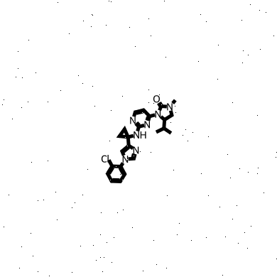 CC(C)C1CN(C)C(=O)N1c1ccnc(NC2(c3cn(-c4ccccc4Cl)cn3)CC2)n1